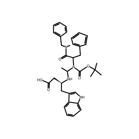 CC(N[C@H](CC(=O)O)Cc1c[nH]c2ccccc12)N(C(=O)OC(C)(C)C)C(Cc1ccccc1)C(=O)N(C)Cc1ccccc1